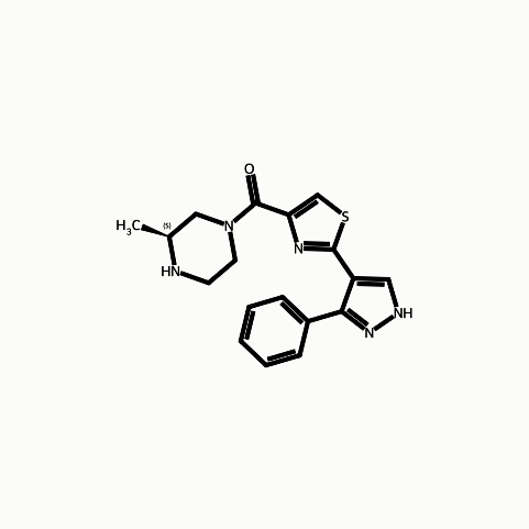 C[C@H]1CN(C(=O)c2csc(-c3c[nH]nc3-c3ccccc3)n2)CCN1